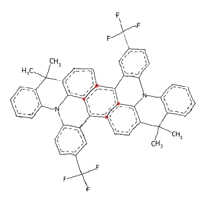 CC1(C)c2ccccc2N(c2ccc(C(F)(F)F)cc2-c2ccc(-c3cc(C(F)(F)F)ccc3N3c4ccccc4C(C)(C)c4ccccc43)cc2)c2ccccc21